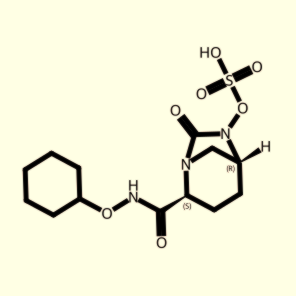 O=C(NOC1CCCCC1)[C@@H]1CC[C@@H]2CN1C(=O)N2OS(=O)(=O)O